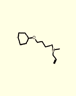 C=CCN(C)CCCCOC1CC[CH]CC1